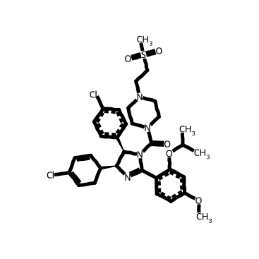 COc1ccc(C2=N[C@@H](C3C=CC(Cl)=CC3)[C@@H](c3ccc(Cl)cc3)N2C(=O)N2CCN(CCS(C)(=O)=O)CC2)c(OC(C)C)c1